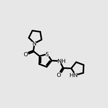 O=C(Nc1ccc(C(=O)N2CCCC2)s1)C1CCCN1